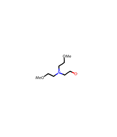 COCCN(CC[O])CCOC